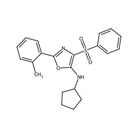 Cc1ccccc1-c1nc(S(=O)(=O)c2ccccc2)c(NC2CCCC2)o1